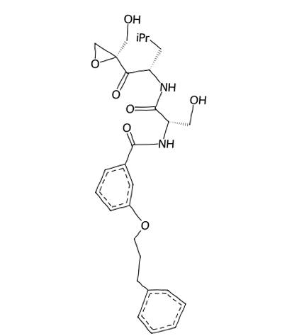 CC(C)C[C@H](NC(=O)[C@H](CO)NC(=O)c1cccc(OCCCc2ccccc2)c1)C(=O)[C@]1(CO)CO1